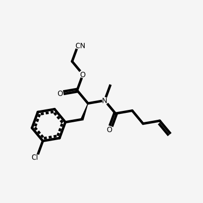 C=CCCC(=O)N(C)[C@@H](Cc1cccc(Cl)c1)C(=O)OCC#N